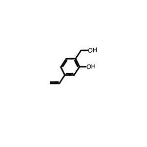 C=Cc1ccc(CO)c(O)c1